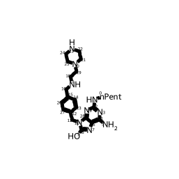 CCCCCNc1nc(N)c2nc(O)n(Cc3ccc(CNCCN4CCNCC4)cc3)c2n1